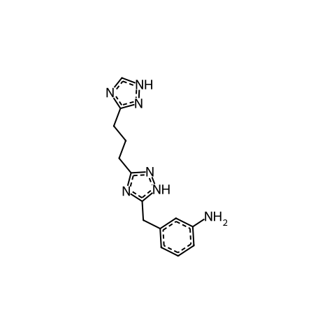 Nc1cccc(Cc2nc(CCCc3nc[nH]n3)n[nH]2)c1